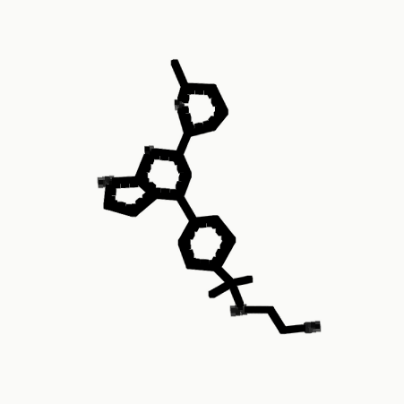 Cc1cccc(-c2cc(-c3ccc(C(C)(C)NCCO)cc3)c3cc[nH]c3n2)n1